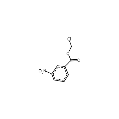 O=C(OCCl)c1cccc([N+](=O)[O-])c1